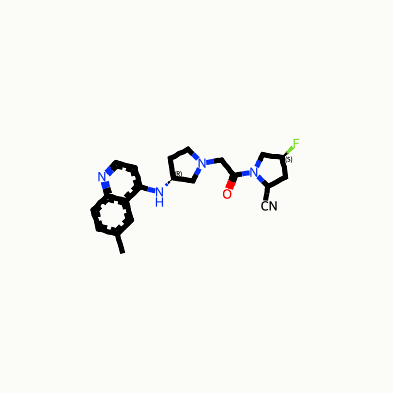 Cc1ccc2nccc(N[C@@H]3CCN(CC(=O)N4C[C@@H](F)CC4C#N)C3)c2c1